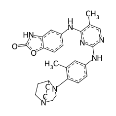 Cc1cc(Nc2ncc(C)c(Nc3ccc4oc(=O)[nH]c4c3)n2)ccc1N1CCN2CCC1CC2